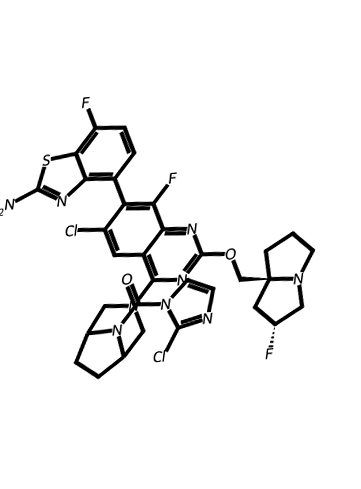 Nc1nc2c(-c3c(Cl)cc4c(N5CC6CCC(C5)N6C(=O)n5ccnc5Cl)nc(OC[C@@]56CCCN5C[C@H](F)C6)nc4c3F)ccc(F)c2s1